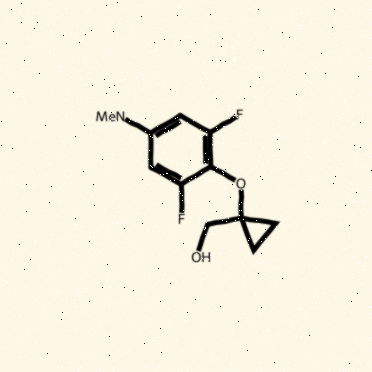 CNc1cc(F)c(OC2(CO)CC2)c(F)c1